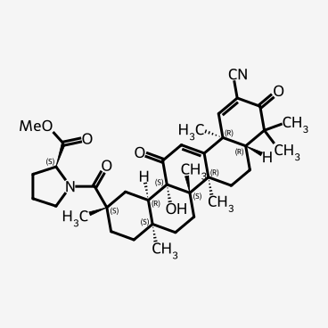 COC(=O)[C@@H]1CCCN1C(=O)[C@@]1(C)CC[C@]2(C)CC[C@@]3(C)[C@]4(C)CC[C@H]5C(C)(C)C(=O)C(C#N)=C[C@]5(C)C4=CC(=O)[C@]3(O)[C@@H]2C1